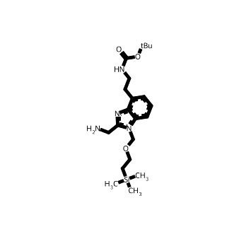 CC(C)(C)OC(=O)NCCc1cccc2c1nc(CN)n2COCC[Si](C)(C)C